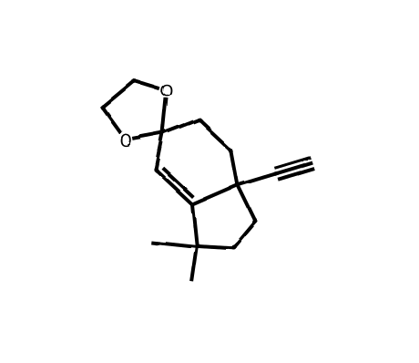 C#CC12CCC3(C=C1C(C)(C)CC2)OCCO3